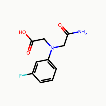 NC(=O)CN(CC(=O)O)c1cccc(F)c1